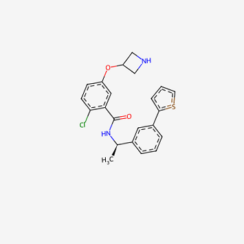 C[C@@H](NC(=O)c1cc(OC2CNC2)ccc1Cl)c1cccc(-c2cccs2)c1